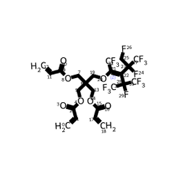 C=CC(=O)OCC(COC(=O)C=C)(COC(=O)C=C)CO/C(=C(/C(F)(CF)C(F)(F)F)C(F)(C(F)(F)F)C(F)(F)F)C(F)(F)F